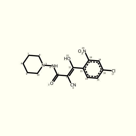 N#CC(C(=O)NN1CCCCC1)=C(O)c1ccc(Cl)cc1[N+](=O)[O-]